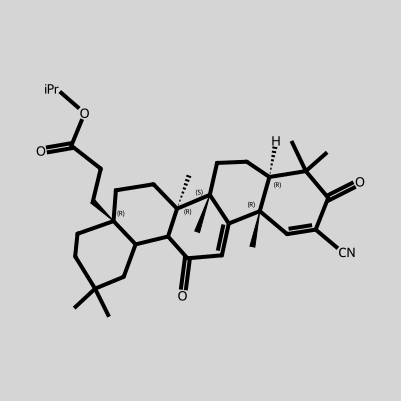 CC(C)OC(=O)CC[C@]12CCC(C)(C)CC1C1C(=O)C=C3[C@@]4(C)C=C(C#N)C(=O)C(C)(C)[C@@H]4CC[C@@]3(C)[C@]1(C)CC2